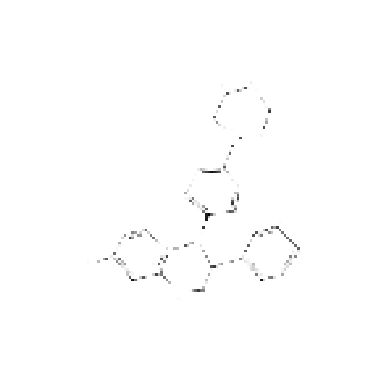 Oc1ccc2c(c1)OCC(c1ccccc1)[C@@H]2c1ccc(N2CCNCC2)cc1